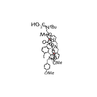 COc1ccc(CN(Cc2ccc(OC)cc2)S(=O)(=O)c2c(S(=O)(=O)NCCCN(C(=O)O)C(C)(C)C)ccc(I)c2-c2nnnn2Cc2ccc(OC)cc2)cc1